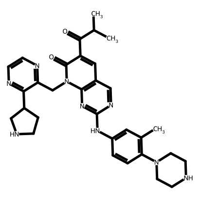 Cc1cc(Nc2ncc3cc(C(=O)C(C)C)c(=O)n(Cc4nccnc4C4CCNC4)c3n2)ccc1N1CCNCC1